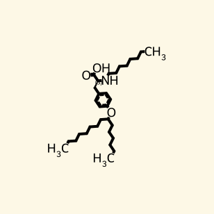 CCCCCCCCN[C@@H](Cc1ccc(OC(CCCCCC)CCCCCCCC)cc1)C(=O)O